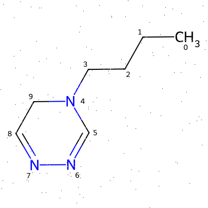 CCCCN1C=NN=CC1